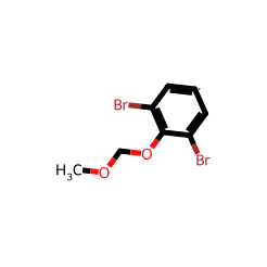 COCOc1c(Br)c[c]cc1Br